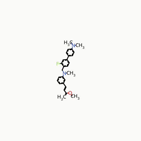 C=C(/C=C/c1cccc(N(C)Cc2ccc(-c3ccc(N(C)C)cc3)cc2F)c1)OC